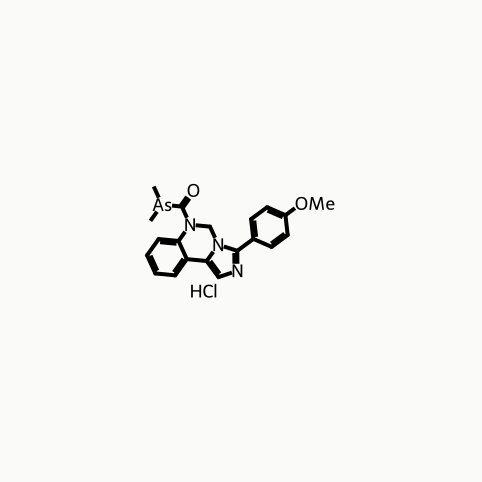 COc1ccc(-c2ncc3n2CN(C(=O)[As](C)C)c2ccccc2-3)cc1.Cl